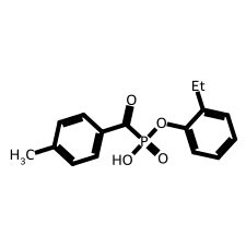 CCc1ccccc1OP(=O)(O)C(=O)c1ccc(C)cc1